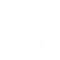 CC(=O)c1cc2c(o1)C(=O)c1ncccc1C2=O